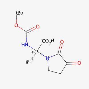 CC(C)[C@](NC(=O)OC(C)(C)C)(C(=O)O)N1CCC(=O)C1=O